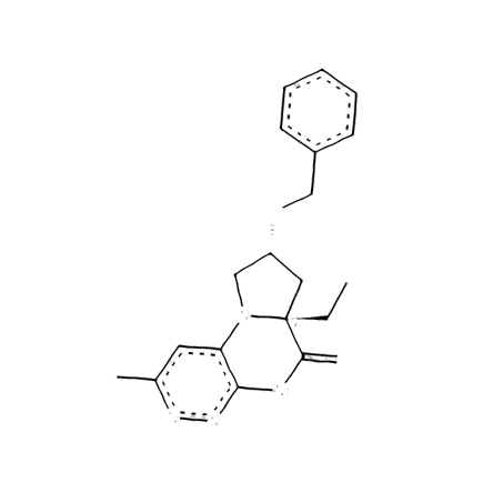 CC[C@]12C[C@@H](OCc3ccccc3)CN1c1cc(Cl)nnc1NC2=O